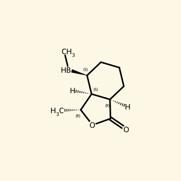 CB[C@H]1CCC[C@H]2C(=O)O[C@H](C)[C@@H]12